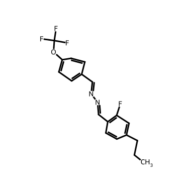 CCCc1ccc(C=NN=Cc2ccc(OC(F)(F)F)cc2)c(F)c1